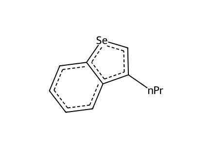 CCCc1c[se]c2ccccc12